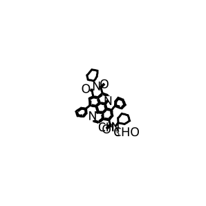 Cc1cnc2c3c(-c4ccccc4)cc4c5c(cnc(c6c(-c7ccccc7)cc(C(=O)N(C=O)C7CCCCC7)c1c26)c53)C(=O)N(C1CCCCC1)C4=O